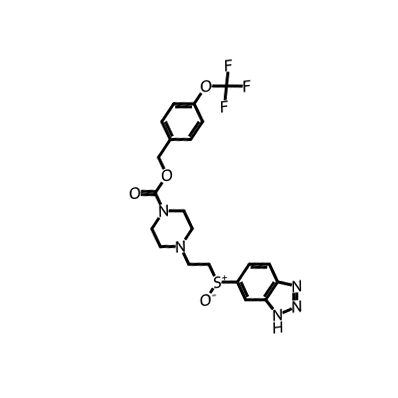 O=C(OCc1ccc(OC(F)(F)F)cc1)N1CCN(CC[S+]([O-])c2ccc3nn[nH]c3c2)CC1